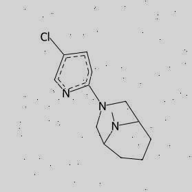 CN1C2CCCC1CN(c1ccc(Cl)cn1)C2